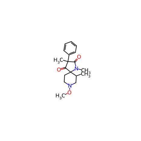 CON1CCC2(C(=O)C(C)(c3ccccc3)C(=O)N2C)C(C)C1